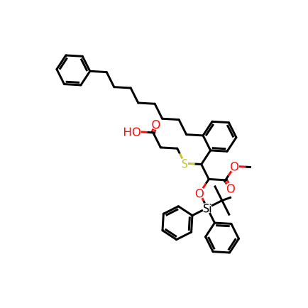 COC(=O)C(O[Si](c1ccccc1)(c1ccccc1)C(C)(C)C)C(SCCC(=O)O)c1ccccc1CCCCCCCCc1ccccc1